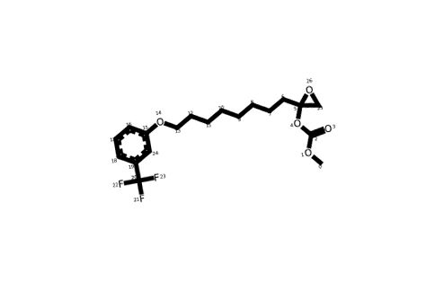 COC(=O)OC1(CCCCCCCCOc2cccc(C(F)(F)F)c2)CO1